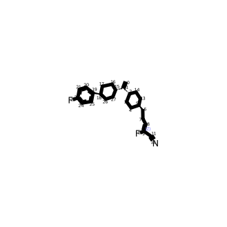 C=C([C@H]1CC[C@H](CC/C=C(\F)C#N)CC1)[C@H]1CC[C@H](c2ccc(F)cc2)CC1